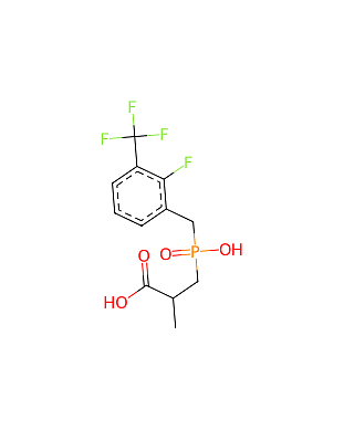 CC(CP(=O)(O)Cc1cccc(C(F)(F)F)c1F)C(=O)O